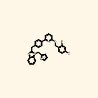 Fc1cc(Cl)ccc1COc1cccc(-c2ccc(Cc3nc4ccccc4n3Cc3ccco3)cc2)n1